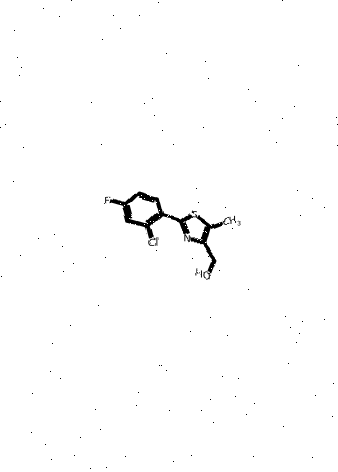 Cc1sc(-c2ccc(F)cc2Cl)nc1CO